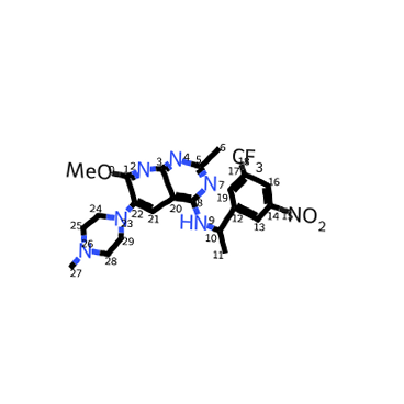 COc1nc2nc(C)nc(NC(C)c3cc([N+](=O)[O-])cc(C(F)(F)F)c3)c2cc1N1CCN(C)CC1